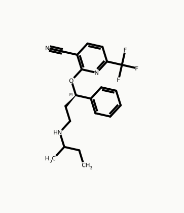 CCC(C)NCC[C@@H](Oc1nc(C(F)(F)F)ccc1C#N)c1ccccc1